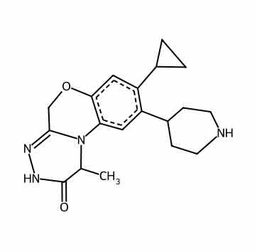 CC1C(=O)NN=C2COc3cc(C4CC4)c(C4CCNCC4)cc3N21